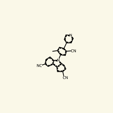 Cc1cc(-c2ccncc2)c(C#N)cc1-n1c2ccc(C#N)cc2c2cc(C#N)ccc21